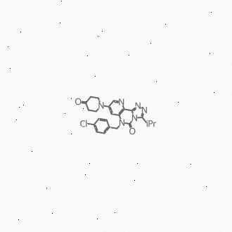 CC(C)c1nnc2c3ncc(N4CCC(=O)CC4)cc3n(Cc3ccc(Cl)cc3)c(=O)n12